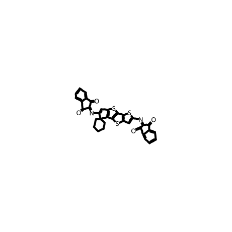 O=c1c(=NC2=Cc3sc4c(sc5cc(N=c6c(=O)c7ccccc7c6=O)sc54)c3C23CCCCC3)c(=O)c2ccccc12